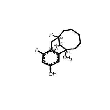 C[C@@]12CCCCC[C@@H](Cc3c(F)cc(O)cc31)[C@@H]2N